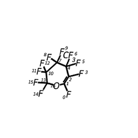 FC1=C(F)C(F)(C(F)(F)F)C(F)(F)C(F)(F)C(F)(F)O1